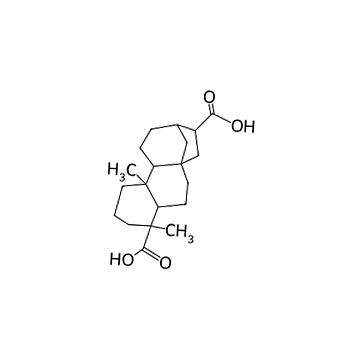 CC1(C(=O)O)CCCC2(C)C3CCC4CC3(CCC12)CC4C(=O)O